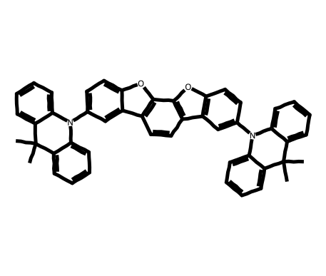 CC1(C)c2ccccc2N(c2ccc3oc4c(ccc5c6cc(N7c8ccccc8C(C)(C)c8ccccc87)ccc6oc54)c3c2)c2ccccc21